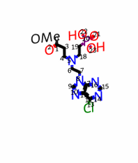 COC(=O)CCN(CCn1cnc2c(Cl)ncnc21)CCP(=O)(O)O